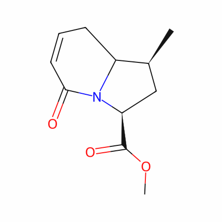 COC(=O)[C@@H]1C[C@H](C)C2CC=CC(=O)N21